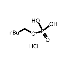 CCCCCOP(=O)(O)O.Cl